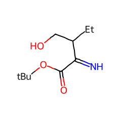 CCC(CO)C(=N)C(=O)OC(C)(C)C